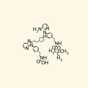 CC(C)(C)OC(=O)NCCc1ccc(Nc2ncccc2N)cc1.O=C(O)NCCc1ccc(-n2c(CCC3CCCC3)nc3cccnc32)cc1